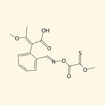 COC(=S)C(=O)ON=Cc1ccccc1/C(C(=O)O)=C(/C)OC